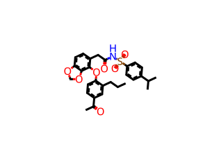 CCCc1cc(C(C)=O)ccc1Oc1c(CC(=O)NS(=O)(=O)c2ccc(C(C)C)cc2)ccc2c1OCO2